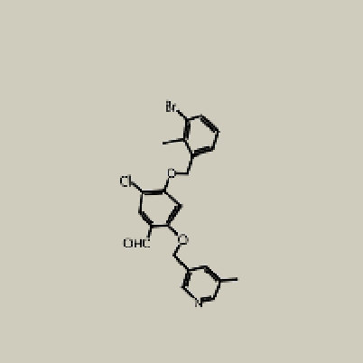 Cc1cncc(COc2cc(OCc3cccc(Br)c3C)c(Cl)cc2C=O)c1